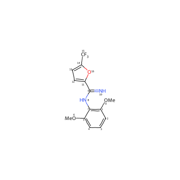 COc1cccc(OC)c1NC(=N)c1ccc(C(F)(F)F)o1